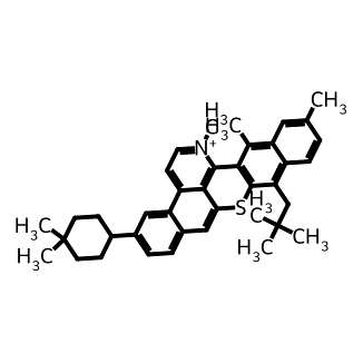 Cc1ccc2c(CC(C)(C)C)c3c(c(C)c2c1)-c1c2c(cc4ccc(C5CCC(C)(C)CC5)cc4c2cc[n+]1C)S3